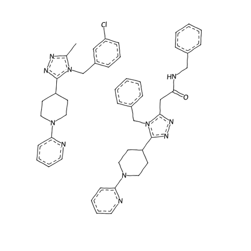 Cc1nnc(C2CCN(c3ccccn3)CC2)n1Cc1cccc(Cl)c1.O=C(Cc1nnc(C2CCN(c3ccccn3)CC2)n1Cc1ccccc1)NCc1ccccc1